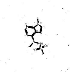 CN(NS(C)(=O)=O)c1ncnc2c1ccn2C